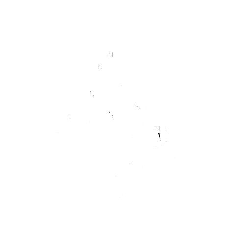 O=C(Nc1cc(-n2cccn2)nc(-c2ccco2)n1)N[C@H]1CC1c1ccccc1